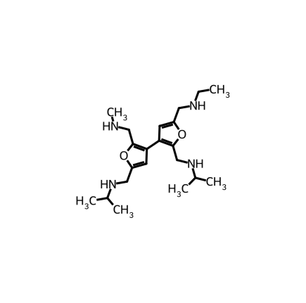 CCNCc1cc(-c2cc(CNC(C)C)oc2CNC)c(CNC(C)C)o1